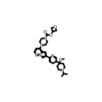 COC1(C2C=NC(c3cc4c(N5CCN(C(=O)OC6COC6)CC5)ccnn4c3)=CC2)CCN(C(C)C)CC1